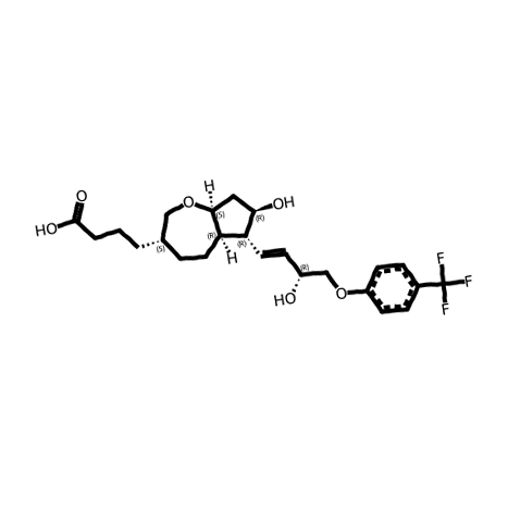 O=C(O)CCC[C@H]1CC[C@@H]2[C@@H](C=C[C@@H](O)COc3ccc(C(F)(F)F)cc3)[C@H](O)C[C@@H]2OC1